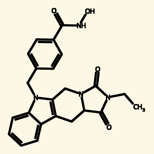 CCN1C(=O)C2Cc3c(n(Cc4ccc(C(=O)NO)cc4)c4ccccc34)CN2C1=O